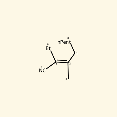 CCCCCCC(C)=C(C#N)CC